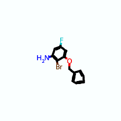 Nc1cc(F)cc(OCc2ccccc2)c1Br